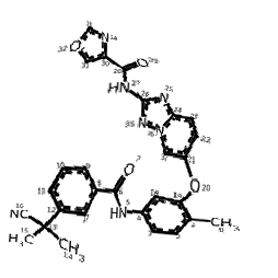 Cc1ccc(NC(=O)c2cccc(C(C)(C)C#N)c2)cc1Oc1ccc2nc(NC(=O)c3cocn3)nn2c1